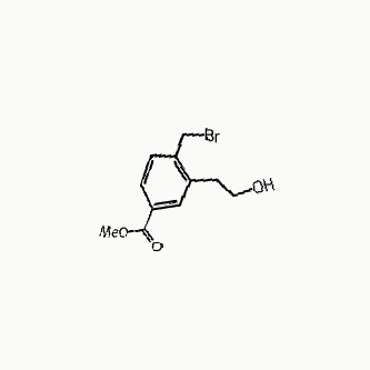 COC(=O)c1ccc(CBr)c(CCO)c1